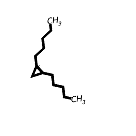 CCCCC[C]1CC1CCCCC